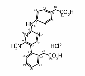 Cl.Nc1nc(Nc2ccc(CC(=O)O)cc2)ncc1-c1ccccc1CC(=O)O